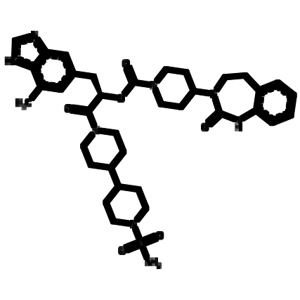 Cc1cc(C[C@@H](OC(=O)N2CCC(N3CCc4ccccc4NC3=O)CC2)C(=O)N2CCC(C3CCN(S(N)(=O)=O)CC3)CC2)cc2nc[nH]c12